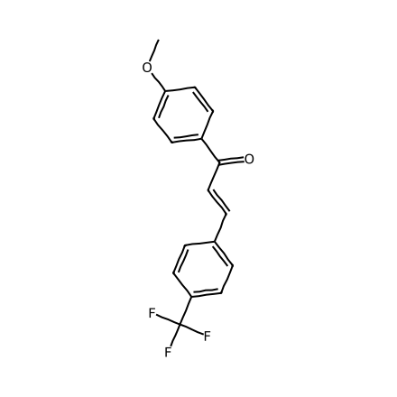 COc1ccc(C(=O)/C=C/c2ccc(C(F)(F)F)cc2)cc1